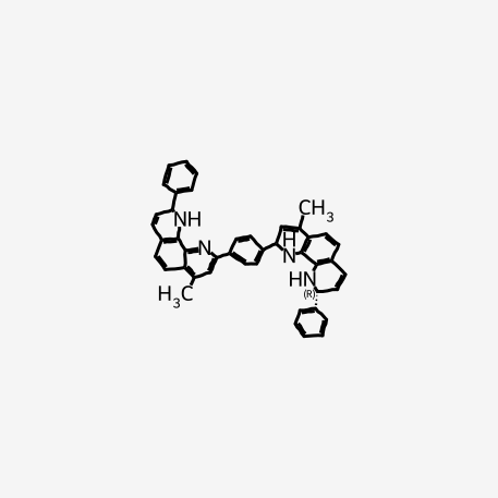 CC1=CC(c2ccc(-c3cc(C)c4ccc5c(c4n3)NC(c3ccccc3)C=C5)cc2)Nc2c1ccc1c2N[C@@H](c2ccccc2)C=C1